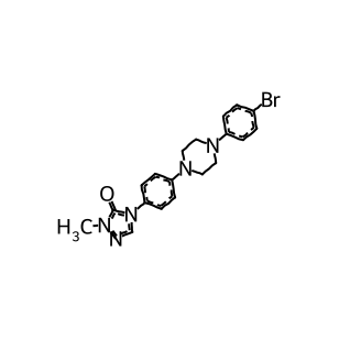 Cn1ncn(-c2ccc(N3CCN(c4ccc(Br)cc4)CC3)cc2)c1=O